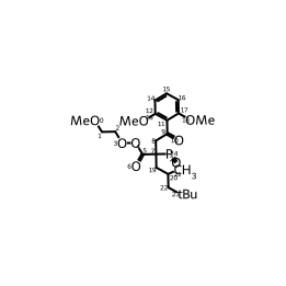 COCCOOC(=O)C(CC(=O)c1c(OC)cccc1OC)(CC(C)CC(C)(C)C)P=O